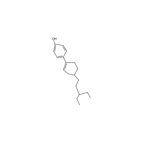 CCC(CC)CCC1CC=C(c2ccc(O)cc2)CC1